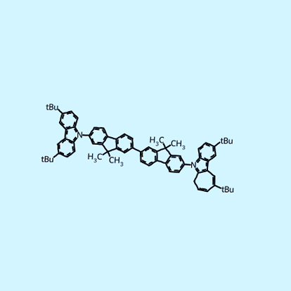 CC(C)(C)C1=Cc2c(n(-c3ccc4c(c3)C(C)(C)c3cc(-c5ccc6c(c5)C(C)(C)c5cc(-n7c8ccc(C(C)(C)C)cc8c8cc(C(C)(C)C)ccc87)ccc5-6)ccc3-4)c3ccc(C(C)(C)C)cc23)CC=C1